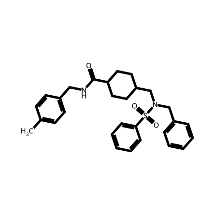 Cc1ccc(CNC(=O)C2CCC(CN(Cc3ccccc3)S(=O)(=O)c3ccccc3)CC2)cc1